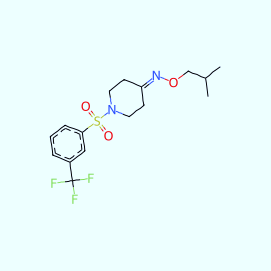 CC(C)CON=C1CCN(S(=O)(=O)c2cccc(C(F)(F)F)c2)CC1